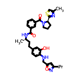 Cc1csc([C@H]2CCCN2C(=O)c2cccc(C(=O)N[C@@H](C)CCc3ccc(NCc4cc(C(C)C)no4)c(O)c3)c2)n1